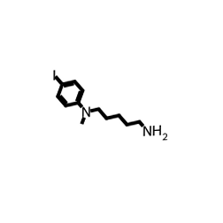 CN(CCCCCN)c1ccc(I)cc1